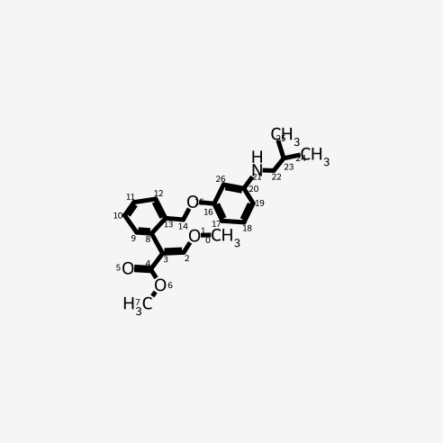 CO/C=C(/C(=O)OC)c1ccccc1COc1cccc(NCC(C)C)c1